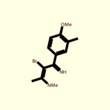 CN/C(C)=C(/Br)C(=N)c1ccc(OC)c(C)c1